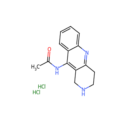 CC(=O)Nc1c2c(nc3ccccc13)CCNC2.Cl.Cl